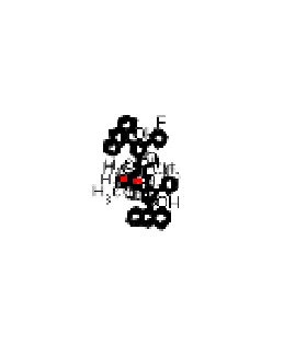 C[C@H](C[C@H](C)Oc1c(C(C)(C)CC(C)(C)C)cc(-c2c3ccccc3cc3ccccc23)c(O)c1-c1cccc(F)c1)Oc1c(C(C)(C)CC(C)(C)C)cc(-c2c3ccccc3cc3ccccc23)c(O)c1-c1cccc(F)c1